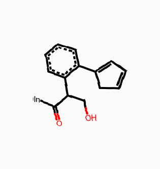 O=[C]([In])C(CO)c1ccccc1C1=CC=CC1